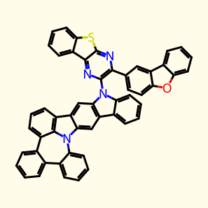 c1ccc2c(c1)-c1ccccc1-n1c3cc4c5ccccc5n(-c5nc6c(nc5-c5ccc7oc8ccccc8c7c5)sc5ccccc56)c4cc3c3cccc-2c31